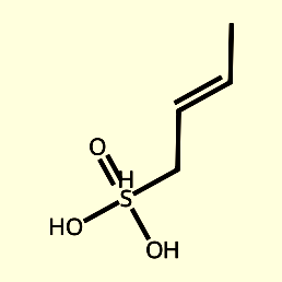 CC=CC[SH](=O)(O)O